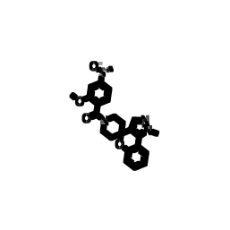 COc1cc([S+](C)[O-])ccc1C(=O)N1CCC2(CC1)Oc1ccccc1-c1c2cnn1C